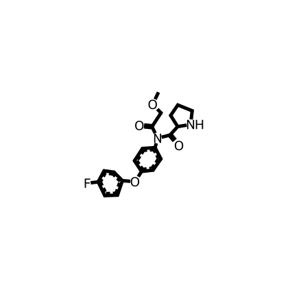 COCC(=O)N(C(=O)C1CCCN1)c1ccc(Oc2ccc(F)cc2)cc1